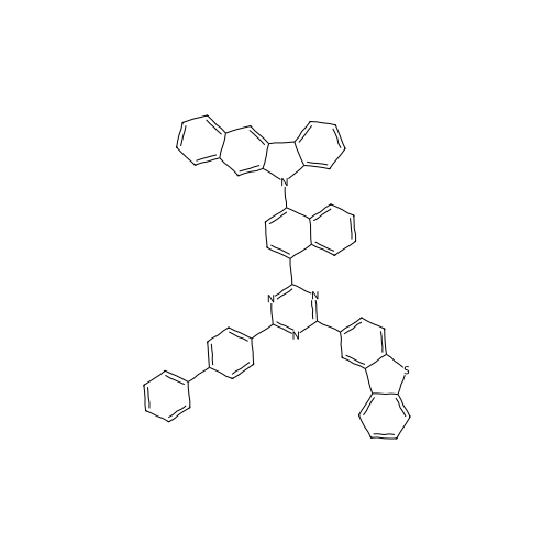 c1ccc(-c2ccc(-c3nc(-c4ccc5sc6ccccc6c5c4)nc(-c4ccc(-n5c6ccccc6c6cc7ccccc7cc65)c5ccccc45)n3)cc2)cc1